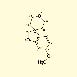 COc1ccc2c(c1)OCC21CCOCC1